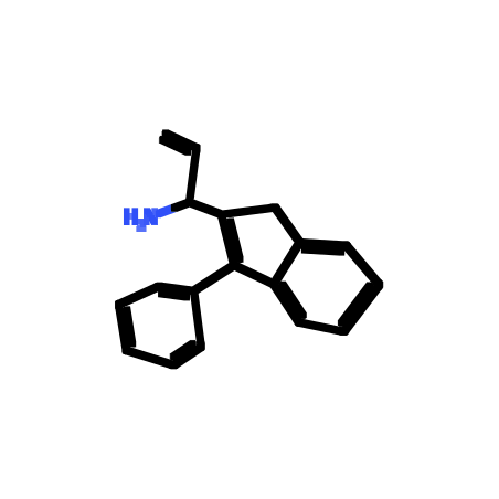 C=CC(N)C1=C(c2ccccc2)c2ccccc2C1